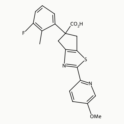 COc1ccc(-c2nc3c(s2)CC(C(=O)O)(c2cccc(F)c2C)C3)nc1